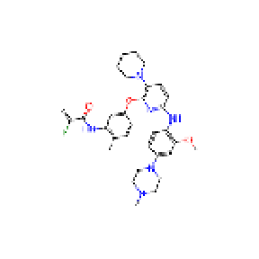 C=C(F)C(=O)Nc1cc(Oc2nc(Nc3ccc(N4CCN(C)CC4)cc3OC)ccc2N2CCCCC2)ccc1C